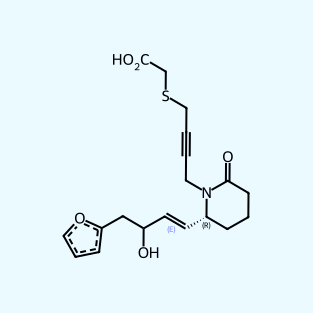 O=C(O)CSCC#CCN1C(=O)CCC[C@@H]1/C=C/C(O)Cc1ccco1